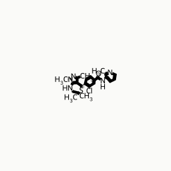 Cc1ncccc1NC(=O)c1ccc([C@@H]2SC(C)(C)CNc3c2c(C)nn3C)c(Cl)c1